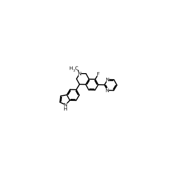 CN1Cc2c(ccc(-c3ncccn3)c2F)C(c2ccc3[nH]ccc3c2)C1